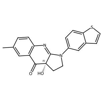 Cc1ccc2c(c1)C(=O)[C@]1(O)CCN(c3ccc4sccc4c3)C1=N2